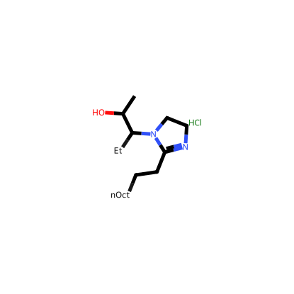 CCCCCCCCCCC1=NCCN1C(CC)C(C)O.Cl